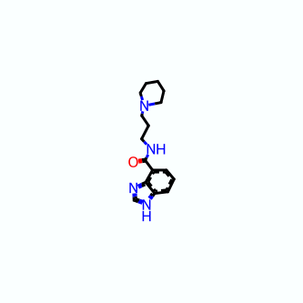 O=C(NCCCN1CCCCC1)c1cccc2[nH]cnc12